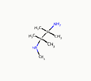 CN[Si](C)(C)[Si](C)(C)N